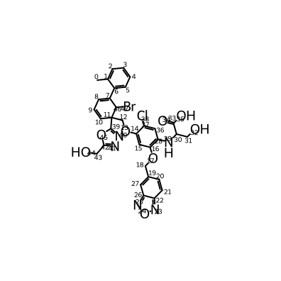 Cc1ccccc1C1=CC=CC(COc2cc(OCc3ccc4nonc4c3)c(NC(CO)C(=O)O)cc2Cl)(c2nnc(CO)o2)C1Br